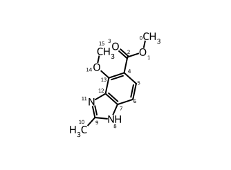 COC(=O)c1ccc2[nH]c(C)nc2c1OC